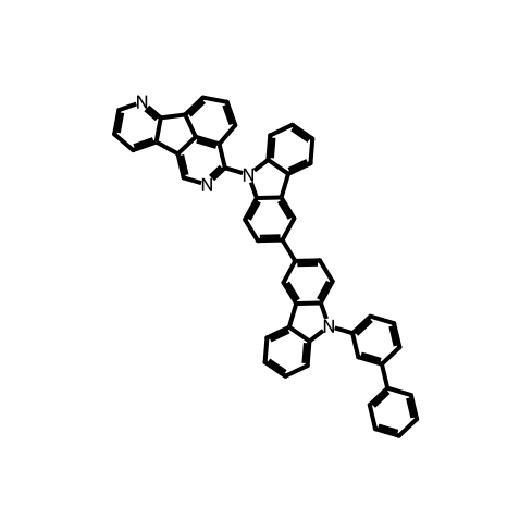 c1ccc(-c2cccc(-n3c4ccccc4c4cc(-c5ccc6c(c5)c5ccccc5n6-c5ncc6c7c(cccc57)-c5ncccc5-6)ccc43)c2)cc1